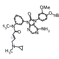 CCCCOc1ccc(-n2c(=O)n(-c3cccc(N(C)C(=O)/C=C/CN(C)C4CC4)c3)c3ncnc(N)c32)cc1OC